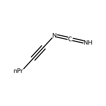 CCCC#CN=C=N